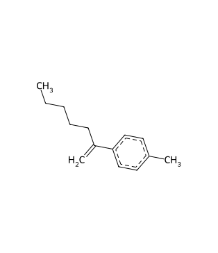 C=C(CCCCC)c1ccc(C)cc1